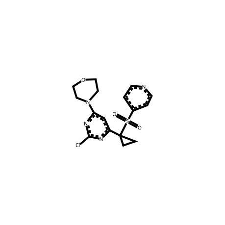 O=S(=O)(c1ccncc1)C1(c2cc(N3CCOCC3)nc(Cl)n2)CC1